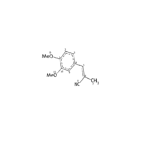 COc1ccc(/C=C(/C)C#N)cc1OC